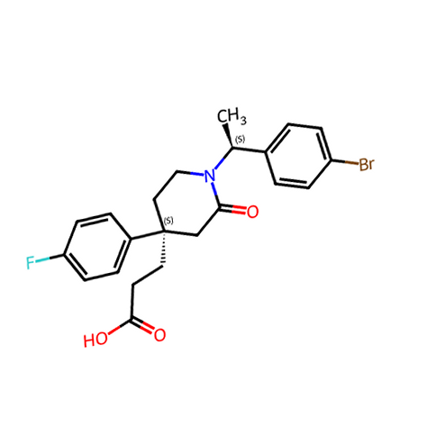 C[C@@H](c1ccc(Br)cc1)N1CC[C@](CCC(=O)O)(c2ccc(F)cc2)CC1=O